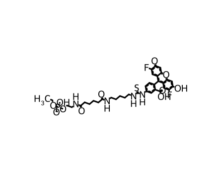 CCOP(=O)(O)OCCNC(=O)CCCCC(=O)NCCCCCNC(=S)Nc1ccc(-c2c3cc(F)c(=O)cc-3oc3cc(O)c(F)cc23)c(C(=O)O)c1